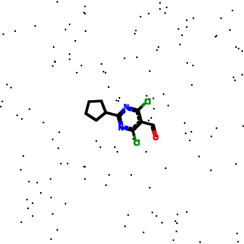 O=Cc1c(Cl)nc(C2CCCC2)nc1Cl